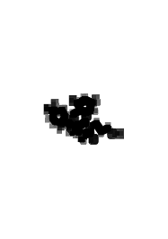 Cn1c(=O)n(CCCO)c(=O)c2c1nc(C1(F)CCC(F)(F)CC1)n2Cc1ccc(F)cc1F